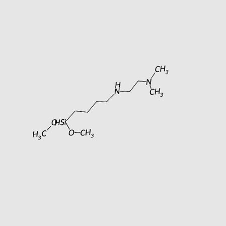 CO[SiH](CCCCNCCN(C)C)OC